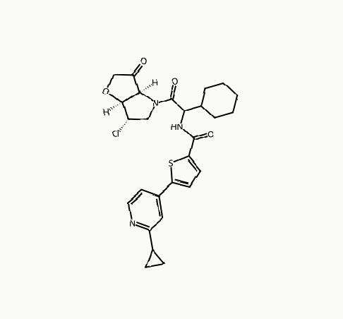 O=C(NC(C(=O)N1C[C@H](Cl)[C@H]2OCC(=O)[C@H]21)C1CCCCC1)c1ccc(-c2ccnc(C3CC3)c2)s1